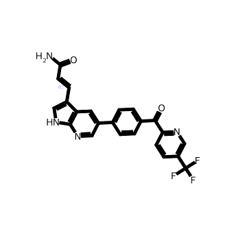 NC(=O)/C=C/c1c[nH]c2ncc(-c3ccc(C(=O)c4ccc(C(F)(F)F)cn4)cc3)cc12